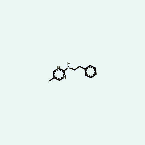 Ic1cnc(NCCc2ccccc2)nc1